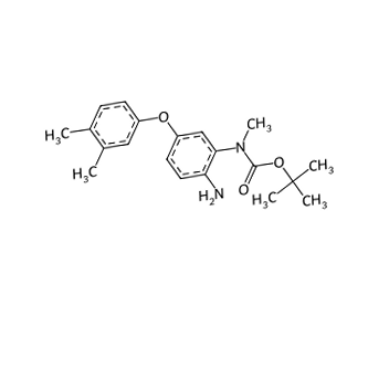 Cc1ccc(Oc2ccc(N)c(N(C)C(=O)OC(C)(C)C)c2)cc1C